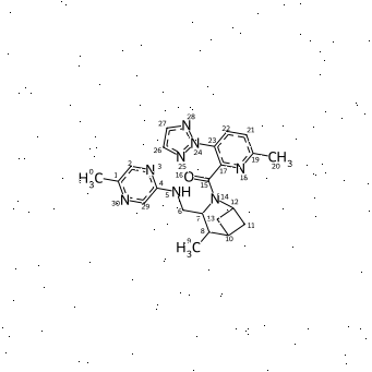 Cc1cnc(NCC2C(C)C3CC(C3)N2C(=O)c2nc(C)ccc2-n2nccn2)cn1